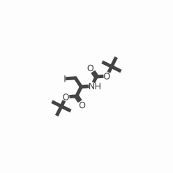 CC(C)(C)OC(=O)NC(CI)C(=O)OC(C)(C)C